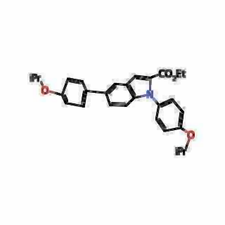 CCOC(=O)c1cc2cc(-c3ccc(OC(C)C)cc3)ccc2n1-c1ccc(OC(C)C)cc1